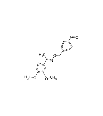 COc1ccc(/C(C)=N/OCc2ccc(N=O)cc2)cc1OC